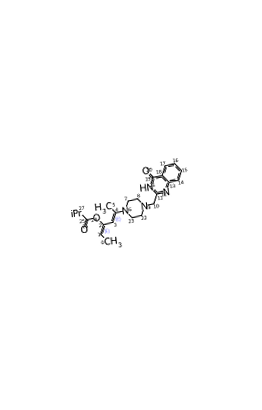 C/C=C(\C=C(/C)N1CCN(Cc2nc3ccccc3c(=O)[nH]2)CC1)OC(=O)C(C)C